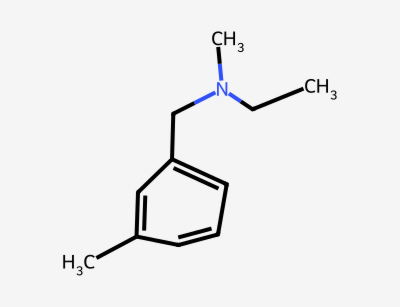 CCN(C)Cc1cccc(C)c1